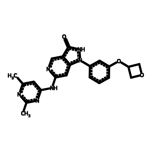 Cc1cc(Nc2cc3c(cn2)c(=O)[nH]n3-c2cccc(OC3COC3)c2)nc(C)n1